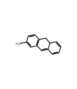 Nc1ccc2c(c1)C=C1C=CC=CC1C2